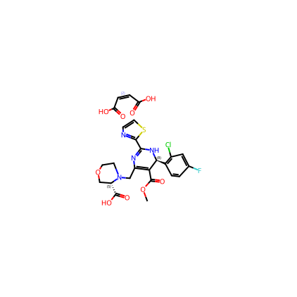 COC(=O)C1=C(CN2CCOC[C@H]2C(=O)O)N=C(c2nccs2)N[C@H]1c1ccc(F)cc1Cl.O=C(O)/C=C\C(=O)O